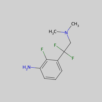 CN(C)CC(F)(F)c1cccc(N)c1F